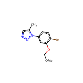 COCOc1cc(-n2nncc2C)ccc1Br